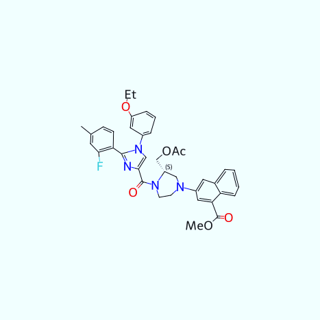 CCOc1cccc(-n2cc(C(=O)N3CCN(c4cc(C(=O)OC)c5ccccc5c4)C[C@H]3COC(C)=O)nc2-c2ccc(C)cc2F)c1